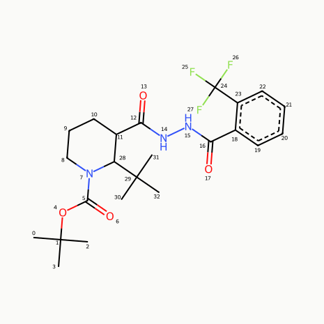 CC(C)(C)OC(=O)N1CCCC(C(=O)NNC(=O)c2ccccc2C(F)(F)F)C1C(C)(C)C